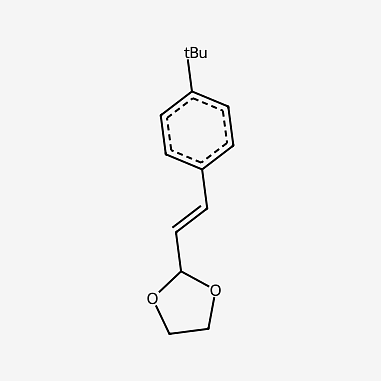 CC(C)(C)c1ccc(C=CC2OCCO2)cc1